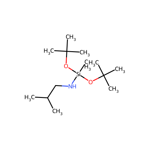 CC(C)CN[Si](C)(OC(C)(C)C)OC(C)(C)C